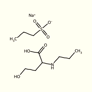 CCCNC(CCO)C(=O)O.CCCS(=O)(=O)[O-].[Na+]